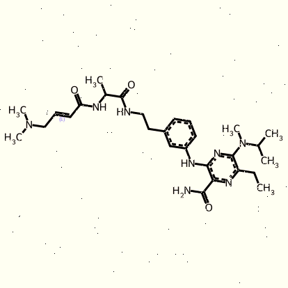 CCc1nc(C(N)=O)c(Nc2cccc(CCNC(=O)C(C)NC(=O)/C=C/CN(C)C)c2)nc1N(C)C(C)C